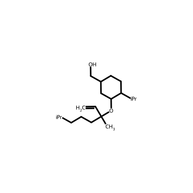 C=CC(C)(CCCC(C)C)OC1CC(CO)CCC1C(C)C